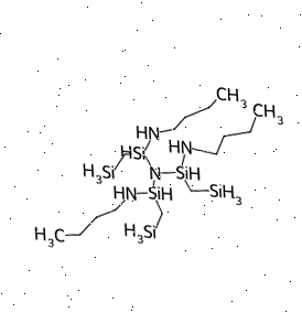 CCCCN[SiH](C[SiH3])N([SiH](C[SiH3])NCCCC)[SiH](C[SiH3])NCCCC